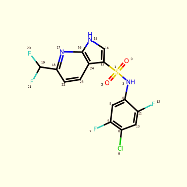 O=S(=O)(Nc1cc(F)c(Cl)cc1F)c1c[nH]c2nc(C(F)F)ccc12